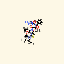 CC1=C(C(=O)N(C(=O)c2csc(N(CC(C)C)C3CC3)n2)[C@H]([C]=O)CC2CC2)N(C(=O)NN)C(c2ccccc2)O1